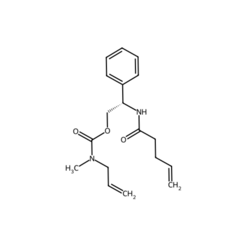 C=CCCC(=O)N[C@H](COC(=O)N(C)CC=C)c1ccccc1